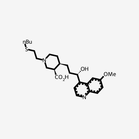 CCCCSCCN1CC[C@@H](CC[C@H](O)c2ccnc3ccc(OC)cc23)[C@@H](C(=O)O)C1